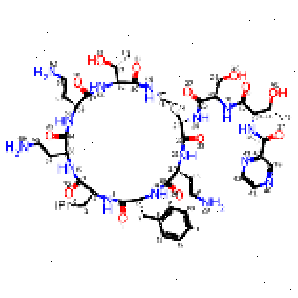 CC(C)C[C@@H]1NC(=O)[C@@H](Cc2ccccc2)NC(=O)[C@H](CCN)NC(=O)[C@@H](NC(=O)[C@@H](CO)NC(=O)[C@@H](NC(=O)c2cnccn2)[C@@H](C)O)CCNC(=O)[C@H]([C@@H](C)O)NC(=O)[C@H](CCN)NC(=O)[C@H](CCN)NC1=O